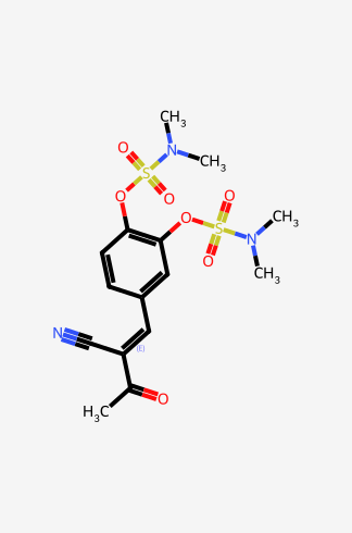 CC(=O)/C(C#N)=C/c1ccc(OS(=O)(=O)N(C)C)c(OS(=O)(=O)N(C)C)c1